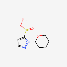 BOS(=O)c1ccnn1C1CCCCO1